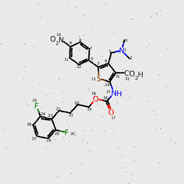 CN(C)Cc1c(-c2ccc([N+](=O)[O-])cc2)sc(NC(=O)OCCCCc2c(F)cccc2F)c1C(=O)O